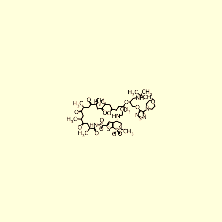 CCN[C@@H]1CN(C)S(=O)(=O)c2sc(S(=O)(=O)NC(=O)C(C)CC(=O)C(C)CC(=O)C(C)CC(=O)C(C)CC(=O)C(C)CC(=O)CCC(=O)OC(CNC(C)(C)C)COc3nsnc3N3CCOCC3)cc21